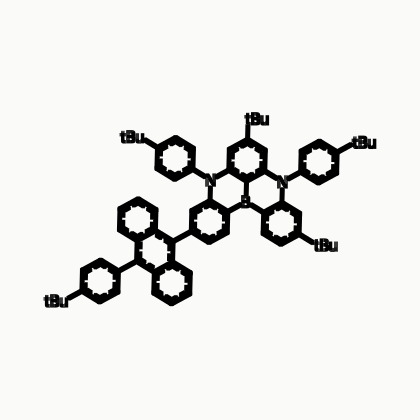 CC(C)(C)c1ccc(-c2c3ccccc3c(-c3ccc4c(c3)N(c3ccc(C(C)(C)C)cc3)c3cc(C(C)(C)C)cc5c3B4c3ccc(C(C)(C)C)cc3N5c3ccc(C(C)(C)C)cc3)c3ccccc23)cc1